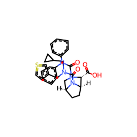 O=C(O)[C@@H]1[C@H]2CC[C@@H](CN1C(=O)N(c1ccccc1)c1ccccc1)N2C(=O)N(Cc1ccsc1)CC1CC1